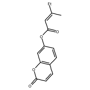 CC/C(C)=C/C(=O)Oc1ccc2ccc(=O)oc2c1